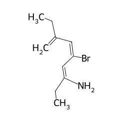 C=C(/C=C(Br)\C=C(/N)CC)CC